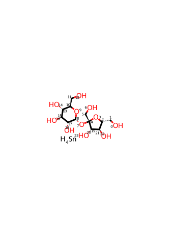 OC[C@H]1O[C@@](CO)(O[C@H]2O[C@H](CO)[C@@H](O)[C@H](O)[C@H]2O)[C@@H](O)[C@@H]1O.[SnH4]